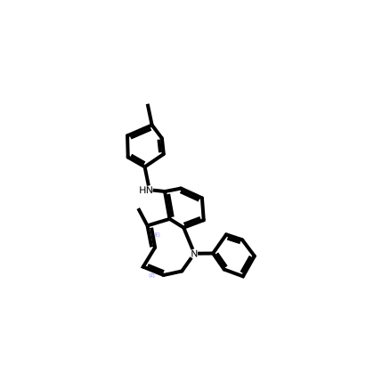 C/C1=C\C=C/CN(c2ccccc2)c2cccc(Nc3ccc(C)cc3)c21